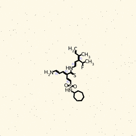 C=C/C(C)=C(\C=C\NC(=S)C(/C=C/S(=O)(=O)NC1CCCCCC1)=C/C=C/N)C(C)F